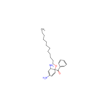 CCCCCCCCCCCCOC1(C(=O)c2ccccc2)C=CC(N)=CC1N